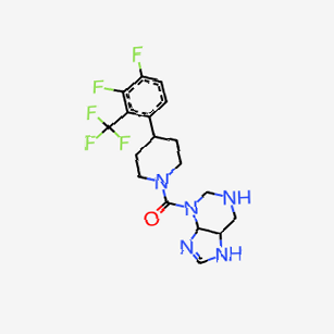 O=C(N1CCC(c2ccc(F)c(F)c2C(F)(F)F)CC1)N1CNCC2NC=NC21